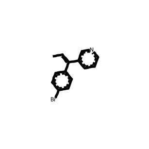 C/C=C(\c1ccc(Br)cc1)c1cccnc1